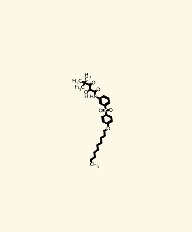 CCCCCCCCCCOc1ccc(S(=O)(=O)c2cccc(NC(=O)C(O)C(=O)C(C)(C)C)c2)cc1